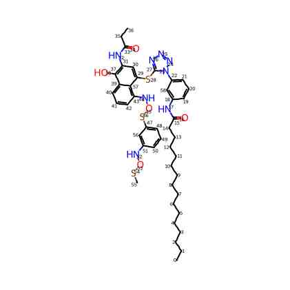 CCCCCCCCCCCCCCCC(=O)Nc1cccc(-n2nnnc2Sc2cc(NC(=O)CC)c(O)c3cccc(NOSc4cccc(NOSC)c4)c23)c1